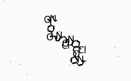 Cc1ccc2cccc(OCc3c(Cl)ccc(N(C)C(=O)Cc4ccc(C(=O)c5ccc(C(=O)N(C)C)cc5)n4C)c3Cl)c2n1